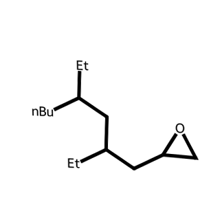 [CH2]CC(CC(CC)CCCC)CC1CO1